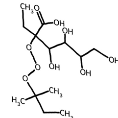 CCC(C)(C)OOOC(CC)(C(=O)O)C(O)C(O)C(O)CO